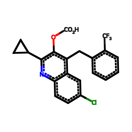 O=C(O)Oc1c(C2CC2)nc2ccc(Cl)cc2c1Cc1ccccc1C(F)(F)F